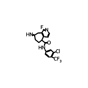 N=C1CCC(C(=O)Nc2ccc(C(F)(F)F)c(Cl)c2)c2ccnc(F)c2C1